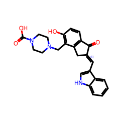 O=C1/C(=C/c2c[nH]c3ccccc23)Cc2c1ccc(O)c2CN1CCN(C(=O)O)CC1